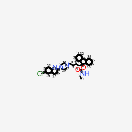 CCNC(=O)OC1(CCCCN2CCN(c3ccc4cc(Cl)ccc4n3)CC2)c2ccccc2-c2ccccc21